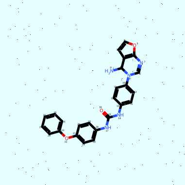 NC1c2ccoc2N=CN1c1ccc(NC(=O)Nc2ccc(Oc3ccccc3)cc2)cc1